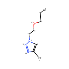 CCc1cn(CCOCCC(C)=O)nn1